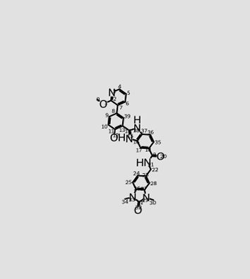 COc1ncccc1-c1ccc(O)c(-c2nc3cc(C(=O)NCc4ccc5c(c4)n(C)c(=O)n5C)ccc3[nH]2)c1